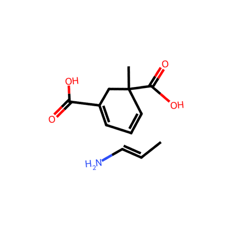 CC1(C(=O)O)C=CC=C(C(=O)O)C1.CC=CN